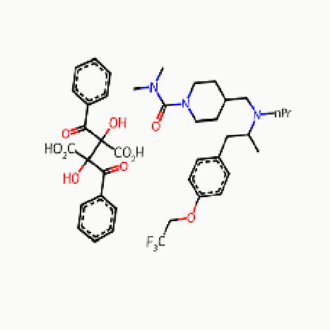 CCCN(CC1CCN(C(=O)N(C)C)CC1)C(C)Cc1ccc(OCC(F)(F)F)cc1.O=C(O)C(O)(C(=O)c1ccccc1)C(O)(C(=O)O)C(=O)c1ccccc1